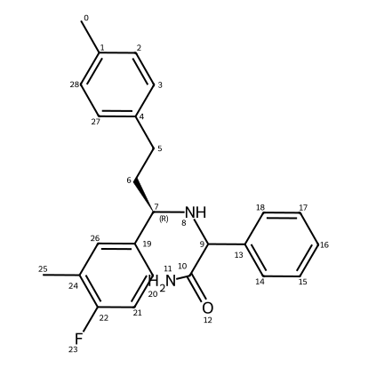 Cc1ccc(CC[C@@H](NC(C(N)=O)c2ccccc2)c2ccc(F)c(C)c2)cc1